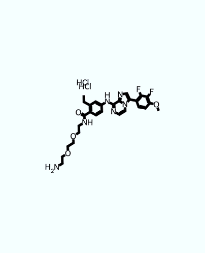 CCc1cc(Nc2nccn3c(-c4ccc(OC)c(F)c4F)cnc23)ccc1C(=O)NCCOCCOCCN.Cl.Cl